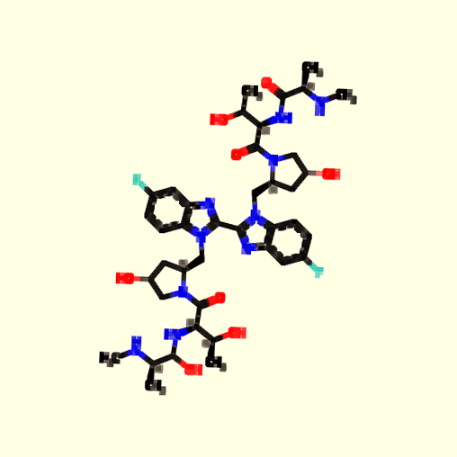 CN[C@H](C)C(=O)N[C@@H](C(=O)N1CC(O)C[C@H]1Cn1c(-c2nc3cc(F)ccc3n2C[C@@H]2CC(O)CN2C(=O)[C@H](NC(O)[C@@H](C)NC)[C@H](C)O)nc2cc(F)ccc21)C(C)O